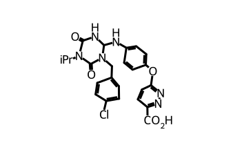 CC(C)N1C(=O)NC(Nc2ccc(Oc3ccc(C(=O)O)nn3)cc2)N(Cc2ccc(Cl)cc2)C1=O